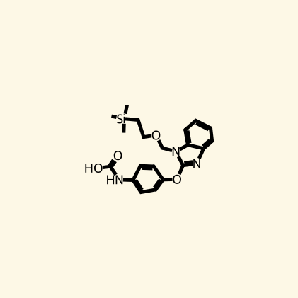 C[Si](C)(C)CCOCn1c(Oc2ccc(NC(=O)O)cc2)nc2ccccc21